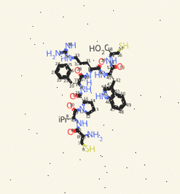 CC(C)[C@@H](NC(=O)[C@@H](N)CS)C(=O)N1CCC[C@H]1C(=O)N[C@H](Cc1ccccc1)C(=O)N[C@@H](CCCNC(=N)N)C(=O)N[C@@H](Cc1c[nH]c2ccccc12)C(=O)N[C@@H](CS)C(=O)O